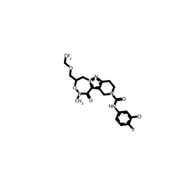 CN1OC(COCC(F)(F)F)Cn2nc3c(c2C1=O)CN(C(=O)Nc1ccc(F)c(Cl)c1)CC3